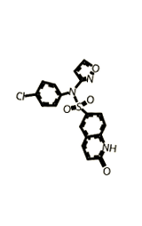 O=c1ccc2cc(S(=O)(=O)N(c3ccc(Cl)cc3)c3ccon3)ccc2[nH]1